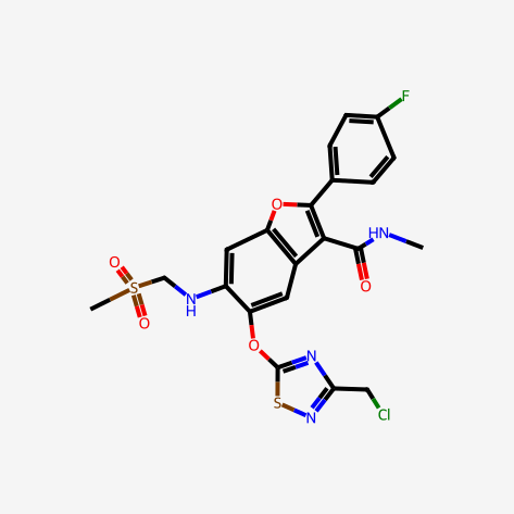 CNC(=O)c1c(-c2ccc(F)cc2)oc2cc(NCS(C)(=O)=O)c(Oc3nc(CCl)ns3)cc12